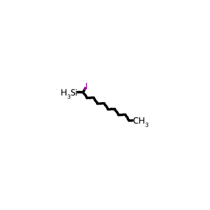 CCCCCCCCCCC([SiH3])I